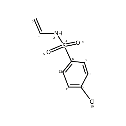 C=CNS(=O)(=O)c1ccc(Cl)cc1